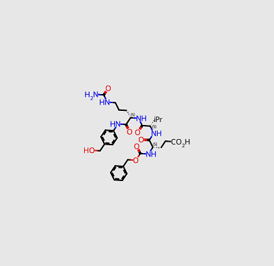 CC(C)[C@H](NC(=O)[C@H](CCC(=O)O)NC(=O)OCc1ccccc1)C(=O)N[C@@H](CCCNC(N)=O)C(=O)Nc1ccc(CO)cc1